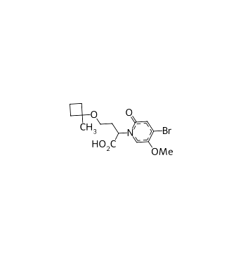 COc1cn(C(CCOC2(C)CCC2)C(=O)O)c(=O)cc1Br